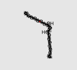 CC(C)(c1cccc(C(C)(C)C(O)CCOCCOCCOCCOCCOCCOCc2ccccc2)c1)C(O)CCOCCOCCOCCOCCOCCOCc1ccccc1